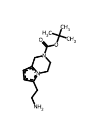 CC(C)(C)OC(=O)N1CCn2c(CCN)ccc2C1